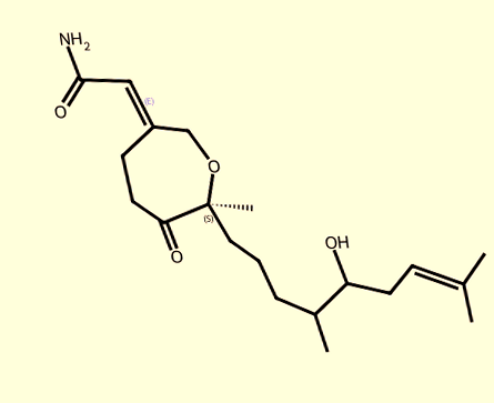 CC(C)=CCC(O)C(C)CCC[C@]1(C)OC/C(=C/C(N)=O)CCC1=O